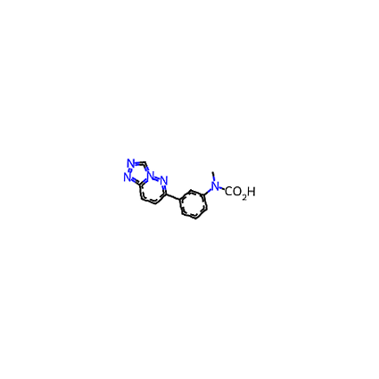 CN(C(=O)O)c1cccc(-c2ccc3nncn3n2)c1